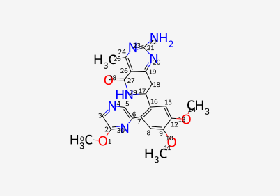 COc1cncc(-c2cc(OC)c(OC)cc2C2Cc3nc(N)nc(C)c3C(=O)N2)n1